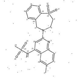 Cc1ccc2nc(N3CCS(=O)(=O)c4ccccc4C3)cc(NS(C)(=O)=O)c2c1